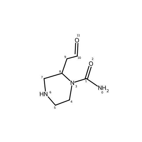 NC(=O)N1CCNCC1CC=O